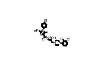 CCCc1nc(C(=O)NCC(O)CN2CCN(c3cccc(Cl)c3Cl)CC2)c(C)n1-c1ccc(Cl)cc1